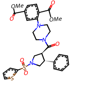 COC(=O)c1ccc(C(=O)OC)c(N2CCN(C(=O)[C@@H]3CN(S(=O)(=O)c4cccs4)C[C@H]3c3ccccc3)CC2)c1